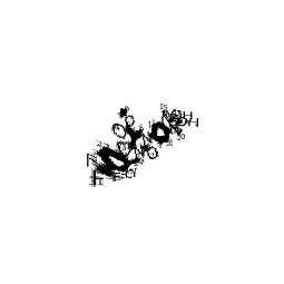 CCOC(=O)c1cn(-c2ccc3c(c2)N(C)S(O)(O)N3C)c(=O)n(Cc2cccc(C(F)(F)F)c2Cl)c1=O